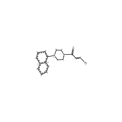 CC(=O)C=CC(=O)N1CCN(c2cccc3ccccc23)CC1